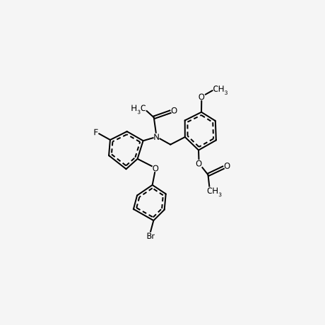 COc1ccc(OC(C)=O)c(CN(C(C)=O)c2cc(F)ccc2Oc2ccc(Br)cc2)c1